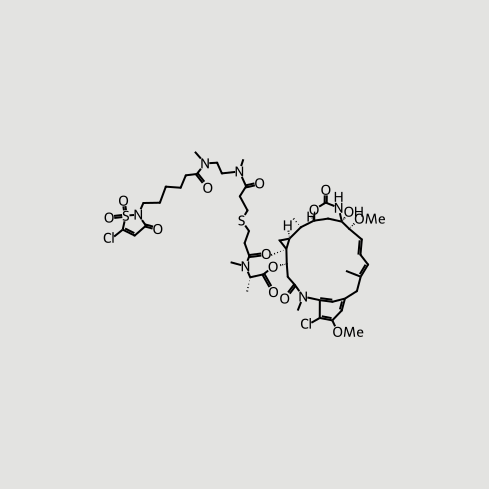 COc1cc2cc(c1Cl)N(C)C(=O)C[C@H](OC(=O)[C@H](C)N(C)C(=O)CCSCCC(=O)N(C)CCN(C)C(=O)CCCCCN1C(=O)C=C(Cl)S1(=O)=O)[C@@]1(C)C[C@H]1[C@H](C)[C@@H]1C[C@@](O)(NC(=O)O1)[C@H](OC)/C=C/C=C(\C)C2